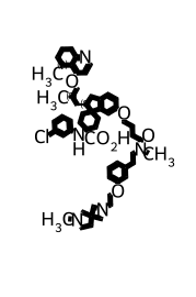 C[C@@H](COc1ccnc2c1[C@H](C)CCC2)C[C@H]1Cc2ccc(OCCCC(=O)N(C)CCc3cccc(OCCN4CC5(CCN(C)C5)C4)c3)cc2C12CCC(Nc1cccc(Cl)c1)(C(=O)O)CC2